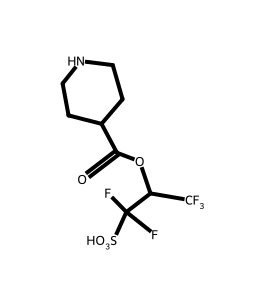 O=C(OC(C(F)(F)F)C(F)(F)S(=O)(=O)O)C1CCNCC1